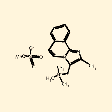 COS(=O)(=O)[O-].Cc1nc2c3ccccc3ccn2c1C[N+](C)(C)C